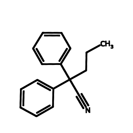 CCCC(C#N)(c1ccccc1)c1ccccc1